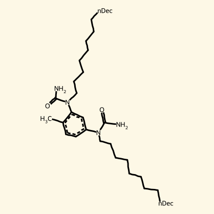 CCCCCCCCCCCCCCCCCCN(C(N)=O)c1ccc(C)c(N(CCCCCCCCCCCCCCCCCC)C(N)=O)c1